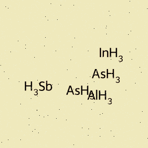 [AlH3].[AsH3].[AsH3].[InH3].[SbH3]